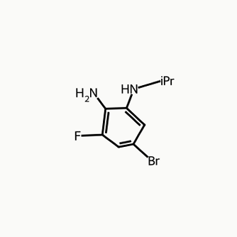 CC(C)Nc1cc(Br)cc(F)c1N